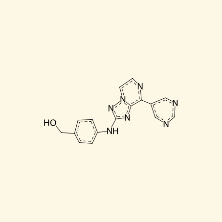 OCc1ccc(Nc2nc3c(-c4cncnc4)nccn3n2)cc1